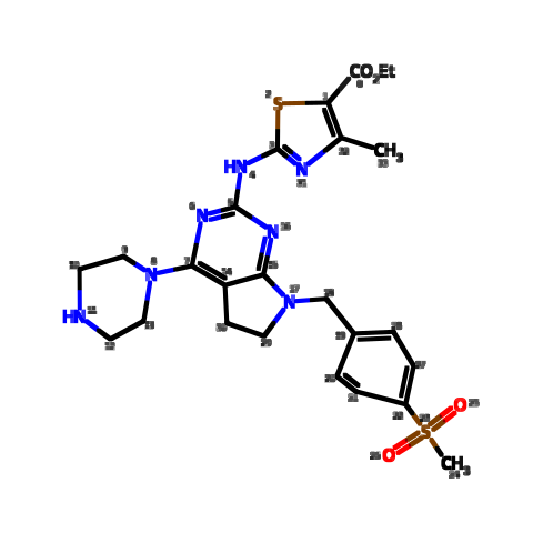 CCOC(=O)c1sc(Nc2nc(N3CCNCC3)c3c(n2)N(Cc2ccc(S(C)(=O)=O)cc2)CC3)nc1C